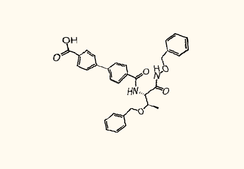 C[C@@H](OCc1ccccc1)[C@H](NC(=O)c1ccc(-c2ccc(C(=O)O)cc2)cc1)C(=O)NOCc1ccccc1